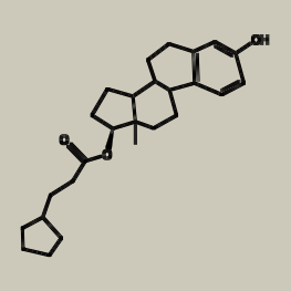 CC12CCC3c4ccc(O)cc4CCC3C1CC[C@@H]2OC(=O)CCC1CCCC1